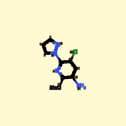 COc1nc(-n2cccn2)c(Cl)cc1N